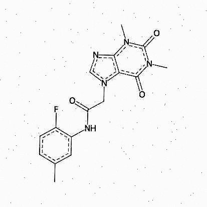 Cc1ccc(F)c(NC(=O)Cn2cnc3c2c(=O)n(C)c(=O)n3C)c1